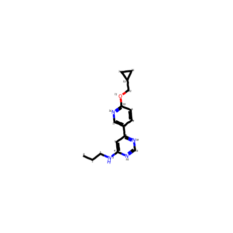 CCCNc1cc(-c2ccc(OCC3CC3)nc2)ncn1